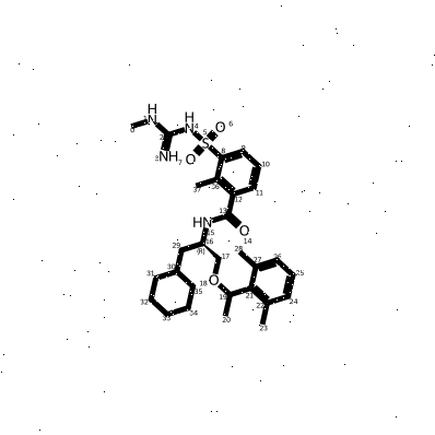 CNC(=N)NS(=O)(=O)c1cccc(C(=O)N[C@@H](COC(C)c2c(C)cccc2C)CC2CCCCC2)c1C